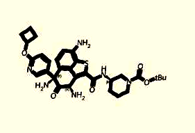 CC(C)(C)OC(=O)N1CCC[C@@H](NC(=O)c2sc3c(N)ccc4c3c2[C@@H](N)C(=O)[C@]4(N)c2ccc(OC3CCC3)nc2)C1